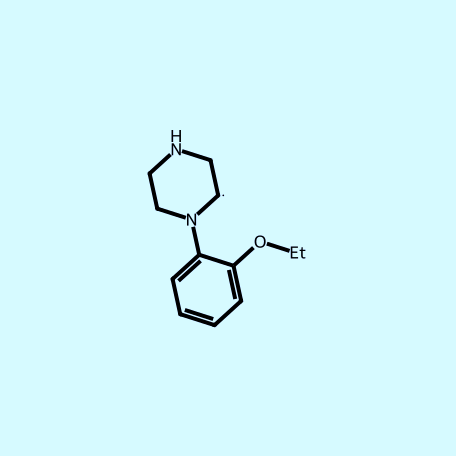 CCOc1ccccc1N1[CH]CNCC1